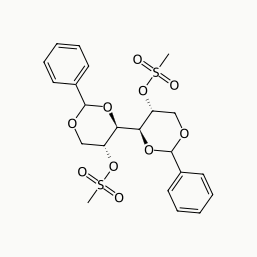 CS(=O)(=O)O[C@@H]1COC(c2ccccc2)O[C@H]1[C@@H]1OC(c2ccccc2)OC[C@H]1OS(C)(=O)=O